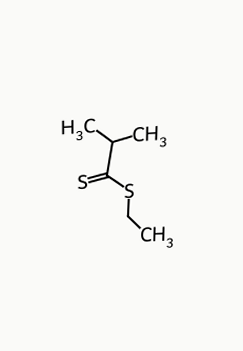 CCSC(=S)C(C)C